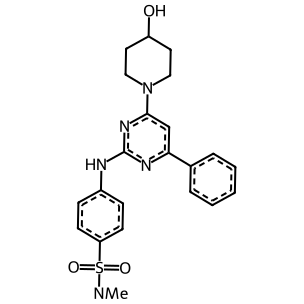 CNS(=O)(=O)c1ccc(Nc2nc(-c3ccccc3)cc(N3CCC(O)CC3)n2)cc1